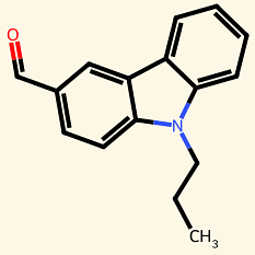 CCCn1c2ccccc2c2cc(C=O)ccc21